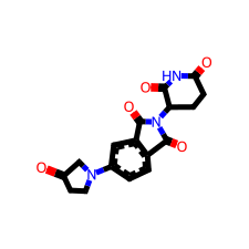 O=C1CCN(c2ccc3c(c2)C(=O)N(C2CCC(=O)NC2=O)C3=O)C1